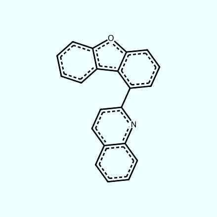 c1ccc2nc(-c3cccc4oc5ccccc5c34)ccc2c1